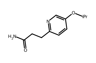 CC(C)Oc1ccc(CCC(N)=O)nc1